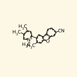 Cc1cc(-c2cc3c(cc2C)oc2cc(C#N)ccc23)[n+](C)cc1C